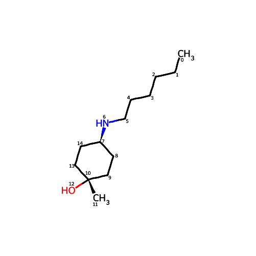 CCCCCCN[C@H]1CC[C@](C)(O)CC1